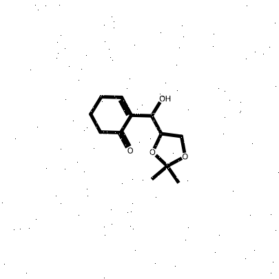 CC1(C)OCC(C(O)C2=CCCCC2=O)O1